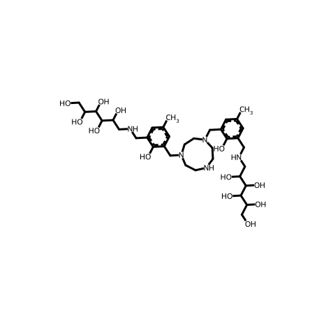 Cc1cc(CNCC(O)C(O)C(O)C(O)CO)c(O)c(CN2CCNCCN(Cc3cc(C)cc(CNCC(O)C(O)C(O)C(O)CO)c3O)CC2)c1